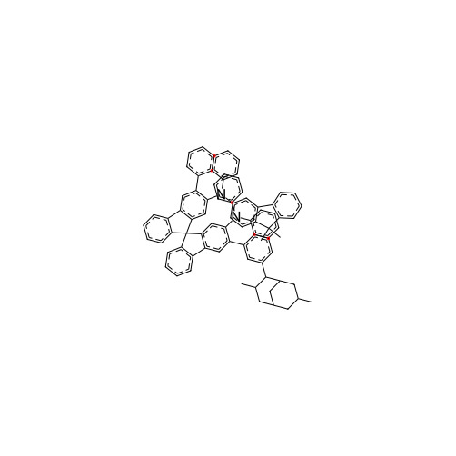 CC1CC2CC(C)C(c3cccc(-c4cc5c(cc4N(c4ccccc4)c4ccccc4)C4(c6ccccc6-5)c5ccccc5-c5cc(-c6ccccc6)c(N(c6ccccc6)c6ccc7c(c6)-c6ccccc6C7(C)C)cc54)c3)C(C1)C2